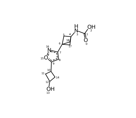 O=C(O)NC12CC(c3cc(C4CC(O)C4)on3)(C1)C2